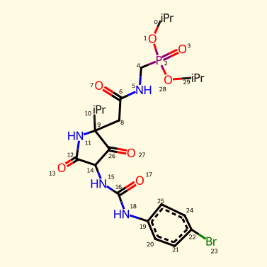 CC(C)OP(=O)(CNC(=O)CC1(C(C)C)NC(=O)C(NC(=O)Nc2ccc(Br)cc2)C1=O)OC(C)C